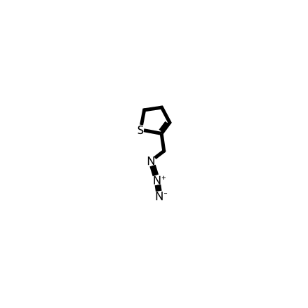 [N-]=[N+]=NCC1=CCCS1